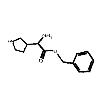 NC(C(=O)OCc1ccccc1)C1CCNC1